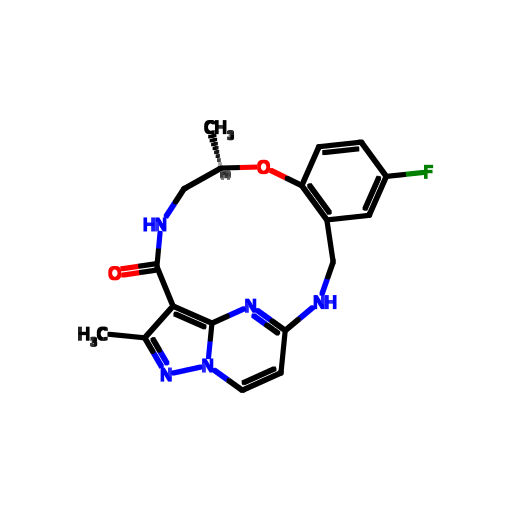 Cc1nn2ccc3nc2c1C(=O)NC[C@H](C)Oc1ccc(F)cc1CN3